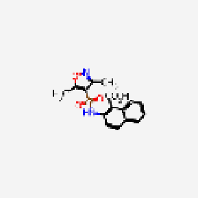 Cc1noc(C)c1S(=O)(=O)Nc1ccc2ccccc2c1C(=O)O